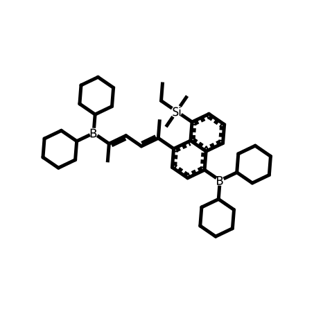 CC[Si](C)(C)c1cccc2c(B(C3CCCCC3)C3CCCCC3)ccc(/C(C)=C/C=C(\C)B(C3CCCCC3)C3CCCCC3)c12